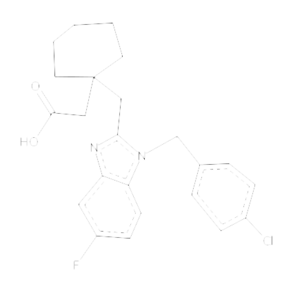 O=C(O)CC1(Cc2nc3cc(F)ccc3n2Cc2ccc(Cl)cc2)CCCCC1